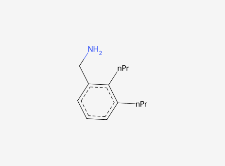 CCCc1cccc(CN)c1CCC